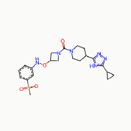 CS(=O)(=O)c1cccc(NOC2CN(C(=O)N3CCC(c4nnc(C5CC5)[nH]4)CC3)C2)c1